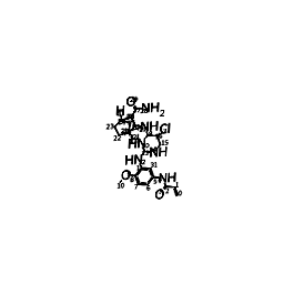 C=CC(=O)Nc1ccc(OC)c(NC2NCC(Cl)C(N[C@H]3[C@@H]4CC[C@@H](C4)[C@H]3C(N)=O)N2)c1